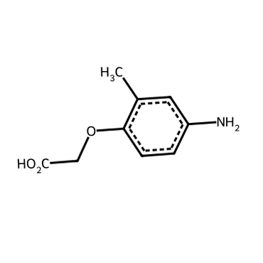 Cc1cc(N)ccc1OCC(=O)O